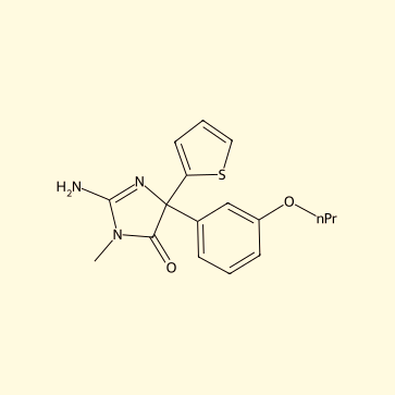 CCCOc1cccc(C2(c3cccs3)N=C(N)N(C)C2=O)c1